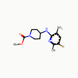 CC(C)(C)OC(=O)N1CCC(Nc2nc(C#N)c(Br)cc2[N+](=O)[O-])CC1